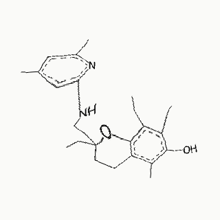 Cc1cc(C)nc(NCC2(C)CCc3c(C)c(O)c(C)c(C)c3O2)c1